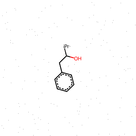 C[C](C)C(O)Cc1ccccc1